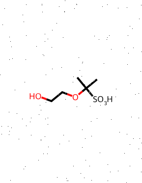 CC(C)(OCCO)S(=O)(=O)O